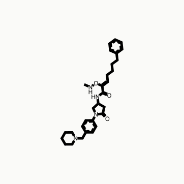 CNO/C(=C\CCCCc1ccccc1)C(=O)NC1CC(=O)N(c2ccc(CN3CCCCC3)cc2)C1